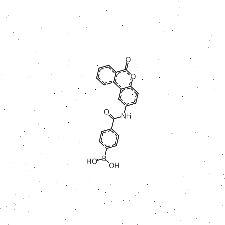 O=C(Nc1ccc2oc(=O)c3ccccc3c2c1)c1ccc(B(O)O)cc1